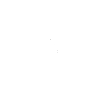 C#C/C=C/[C@@H](O)C/C=C\CCC(=O)OC